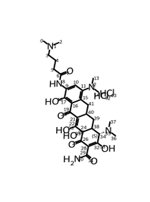 CN(C)CCCC(=O)Nc1cc(N(C)C)c2c(c1O)C(=O)C1=C(O)[C@]3(O)C(=O)C(C(N)=O)=C(O)[C@@H](N(C)C)C3CC1C2.Cl.Cl